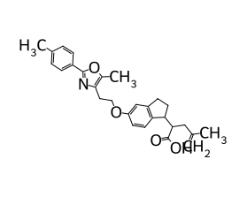 C=C(C)CC(C(=O)O)C1CCc2cc(OCCc3nc(-c4ccc(C)cc4)oc3C)ccc21